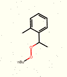 [CH2]c1ccccc1C([CH2])OOCCCC